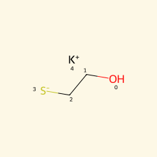 OCC[S-].[K+]